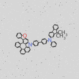 CC1(C)c2ccccc2-c2ccc(N(c3ccccc3)c3ccc(-c4ccc(-n5c6cc7oc8ccccc8c7c7c6c6c8c(cccc8ccc65)-c5ccccc5-7)cc4)cc3)cc21